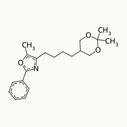 Cc1oc(-c2ccccc2)nc1CCCCC1COC(C)(C)OC1